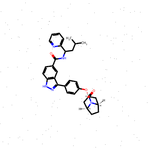 CC(C)CC(NC(=O)c1ccc2[nH]nc(-c3ccc(O[C@@H]4C[C@H]5CC[C@@H](C4)N5C=O)cc3)c2c1)c1ccccn1